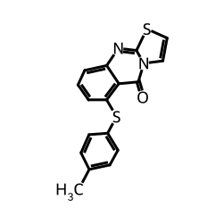 Cc1ccc(Sc2cccc3nc4sccn4c(=O)c23)cc1